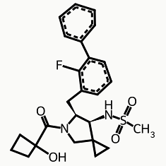 CS(=O)(=O)N[C@@H]1[C@H](Cc2cccc(-c3ccccc3)c2F)N(C(=O)C2(O)CCC2)CC12CC2